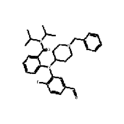 CC(C)N(C(=O)c1ccccc1N(c1cc(C=O)ccc1F)C1CCN(Cc2ccccc2)CC1)C(C)C